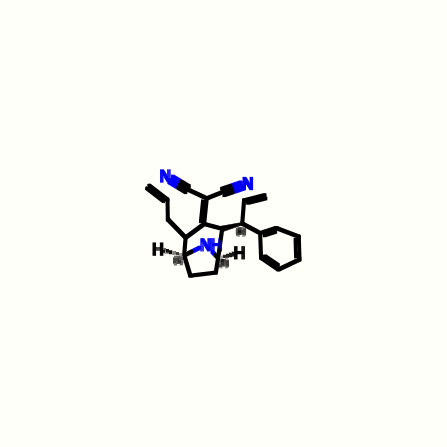 C=CCC1C(=C(C#N)C#N)C([C@@H](C=C)c2ccccc2)[C@H]2CC[C@@H]1N2